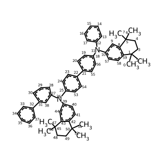 CC1(C)CCC(C)(C)c2cc(N(c3ccccc3)c3ccc(-c4ccc(N(c5cccc(-c6ccccc6)c5)c5ccc6c(c5)C(C)(C)CCC6(C)C)cc4)cc3)ccc21